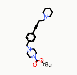 CC(C)(C)OC(=O)N1CCN(Cc2ccc(C#CCCN3CCCCC3)cc2)CC1